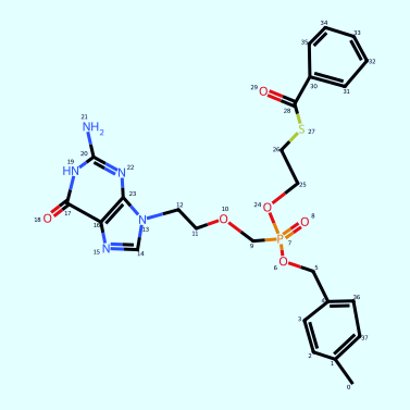 Cc1ccc(COP(=O)(COCCn2cnc3c(=O)[nH]c(N)nc32)OCCSC(=O)c2ccccc2)cc1